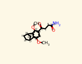 COc1cc(C(=O)CCC(N)=O)c(OC)c2c1C1CCC2C1